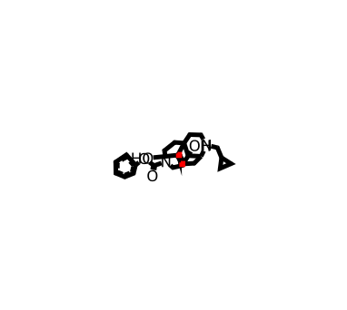 O=C(Oc1ccccc1)N1CCC23CCN(CC4CC4)C(Cc4ccc(O)cc42)C3(O)CC1